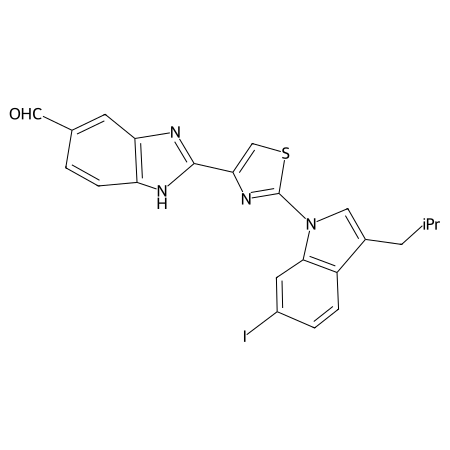 CC(C)Cc1cn(-c2nc(-c3nc4cc(C=O)ccc4[nH]3)cs2)c2cc(I)ccc12